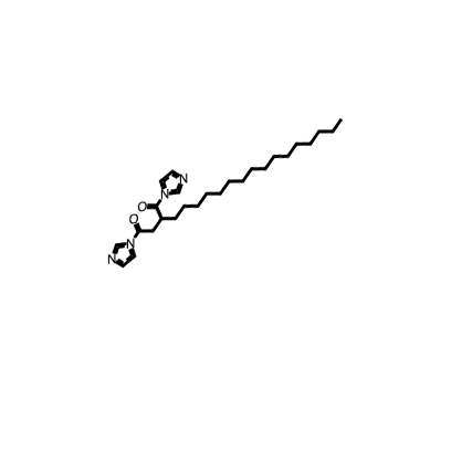 CCCCCCCCCCCCCCCCC(CC(=O)n1ccnc1)C(=O)n1ccnc1